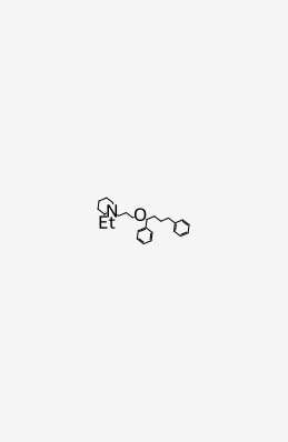 CCC1CCCCN1CCCOC(CCCc1ccccc1)c1ccccc1